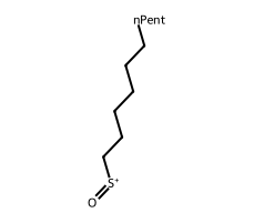 CCCCCCCCCCC[S+]=O